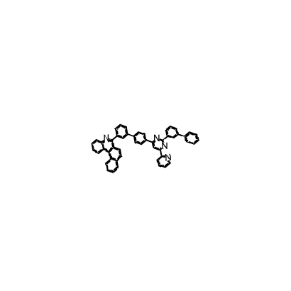 c1ccc(-c2cccc(-c3nc(-c4ccc(-c5cccc(-c6nc7ccccc7c7c6ccc6ccccc67)c5)cc4)cc(-c4ccccn4)n3)c2)cc1